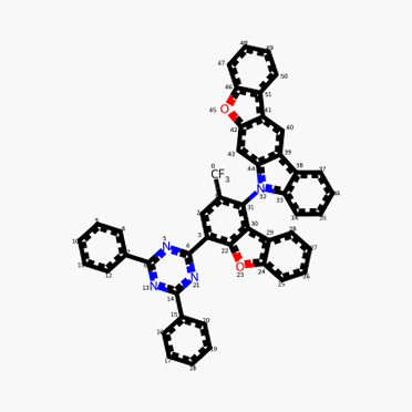 FC(F)(F)c1cc(-c2nc(-c3ccccc3)nc(-c3ccccc3)n2)c2oc3ccccc3c2c1-n1c2ccccc2c2cc3c(cc21)oc1ccccc13